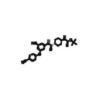 CC(C)(C)OC(=O)N[C@H]1CC[C@H](C(=O)Nc2cc(O)cc(Oc3ccc(C#N)cc3)c2)CC1